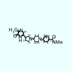 CNC(=O)c1ccc(N2CCC(N3CCC(c4cnc(C)c(=O)[nH]4)C3)CC2)cn1